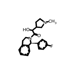 CN1CCC(C(O)C(=O)N2CCc3ccccc3[C@@H]2c2ccc(F)cc2)C1